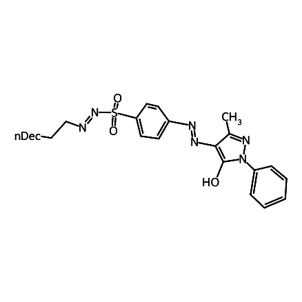 CCCCCCCCCCCCN=NS(=O)(=O)c1ccc(/N=N/c2c(C)nn(-c3ccccc3)c2O)cc1